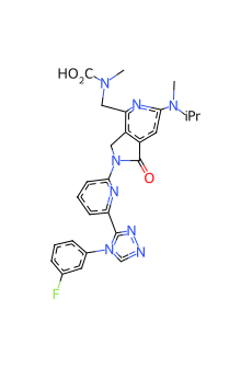 CC(C)N(C)c1cc2c(c(CN(C)C(=O)O)n1)CN(c1cccc(-c3nncn3-c3cccc(F)c3)n1)C2=O